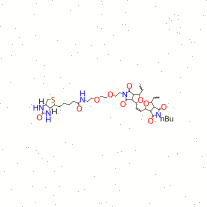 C=CC1OC(/C=C\C2OC(C=C)C3C(=O)N(CCOCCOCCNC(=O)CCCC[C@@H]4SC[C@@H]5NC(=O)N[C@@H]54)C(=O)C23)C2C(=O)N(CCCC)C(=O)C12